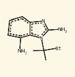 CCC(C)(C)n1c(N)nc2cccc(N)c21